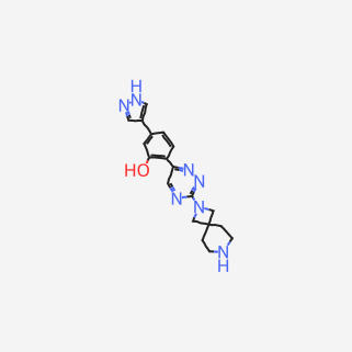 Oc1cc(-c2cn[nH]c2)ccc1-c1cnc(N2CC3(CCNCC3)C2)nn1